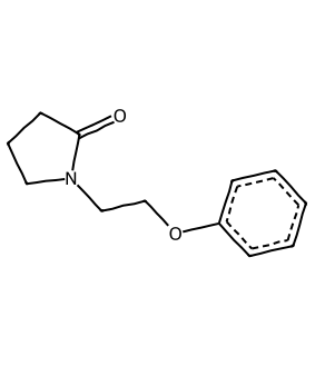 O=C1CCCN1CCOc1ccccc1